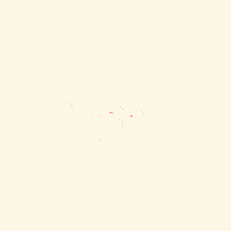 FC(F)(F)c1cnc(N2[C@@H]3CC[C@H]2CC(NC(=S)Nc2cccnc2)C3)c(Cl)c1